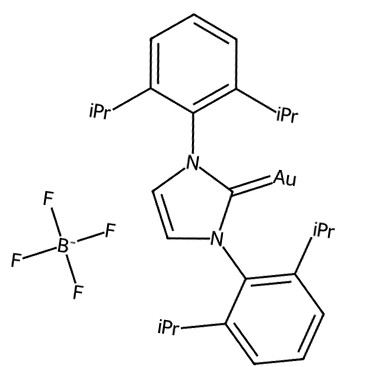 CC(C)c1cccc(C(C)C)c1-n1ccn(-c2c(C(C)C)cccc2C(C)C)[c]1=[Au].F[B-](F)(F)F